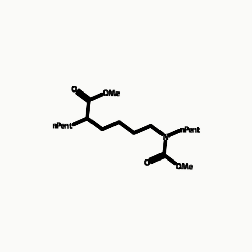 CCCCCC(CCCCN(CCCCC)C(=O)OC)C(=O)OC